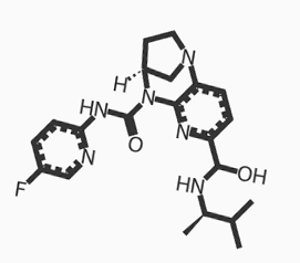 CC(C)[C@@H](C)NC(O)c1ccc2c(n1)N(C(=O)Nc1ccc(F)cn1)[C@H]1CCN2C1